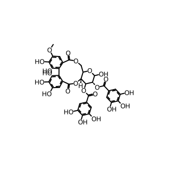 COc1cc2c(c(O)c1O)-c1c(cc(O)c(O)c1O)C(=O)O[C@@H]1C(COC2=O)OC(O)[C@@H](OC(=O)c2cc(O)c(O)c(O)c2)C1OC(=O)c1cc(O)c(O)c(O)c1